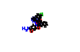 NC(=O)c1ccc(NC(=O)C(Cc2ccccc2)N2CON(c3cc(Cl)ccc3-n3cnnn3)CO2)cc1